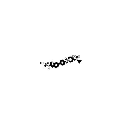 CS(=O)(=O)Nc1cnc2cc(-c3ccc(S(=O)(=O)N4CCC5(CC4)CN(C4CC4)C(=O)CO5)cc3)ccc2c1